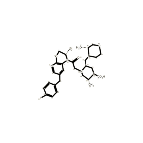 CC[C@H]1COc2ncc(Cc3ccc(F)cc3)cc2N1C(=O)CN1C[C@@H](C)N(C(=O)O)C[C@@H]1CN1CCOC[C@H]1C